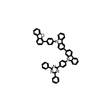 c1ccc(-c2nc(-c3ccccc3)nc(-c3ccc(-n4c5ccccc5c5ccc(-c6ccc7c(c6)c6ccccc6n7-c6ccc(-c7cccc8c7oc7ccccc78)cc6)cc54)cc3)n2)cc1